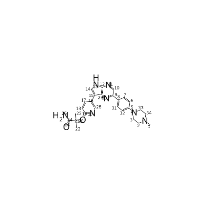 CN1CCN(c2ccc(-c3cnc4[nH]cc(-c5ccc(OC(C)(C)C(N)=O)nc5)c4n3)cc2)CC1